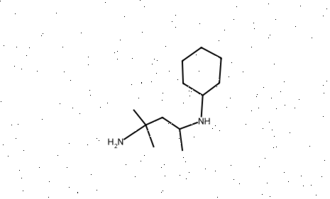 CC(CC(C)(C)N)NC1CCCCC1